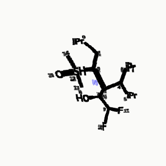 CC(C)C/C(=C(\C(C(C)C)C(C)C)[C@H](O)C(F)F)[SH](C)(C)=O